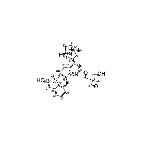 OCC1(COc2nc(N3C[C@H]4CC[C@@H](C3)N4)c3ccc(-c4cc(O)cc5ccccc45)c(F)c3n2)COC1